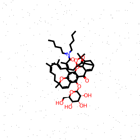 CCCCCN(CCCCC)C(=O)/C(C)=C\CC12OC(C)(C)C3CC(C=C4C(=O)c5c(O[C@@H]6O[C@H](CO)[C@@H](O)[C@@H](O)[C@H]6O)c6c(c(CC=C(C)C)c5OC431)OC(C)(CCC=C(C)C)C=C6)C2=O